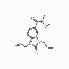 C=CCn1c(=O)n(CC=C)c2cc(C(=O)N(C)OC)ccc21